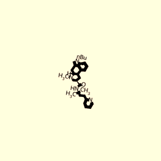 CCCCn1cc2c3c(cccc31)C1C[C@@H](C(=O)NC(C)(C)CCc3ccccn3)CN(C)[C@@H]1C2